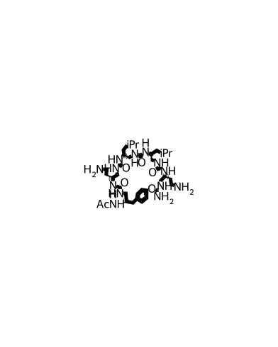 CC(=O)N[C@H](CNC(=O)N[C@@H](CCN)CNC(=O)N[C@H](CNC(=O)N[C@H](CNC(=O)N[C@@H](CCN)CNC(N)=O)CC(C)C)CC(C)C)Cc1ccccc1